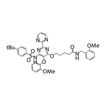 COc1ccccc1CNC(=O)CCCCOc1nc(-c2ncccn2)nc(NS(=O)(=O)c2ccc(C(C)(C)C)cc2)c1Oc1ccccc1OC